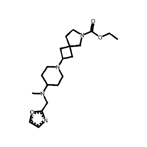 CCOC(=O)N1CCC2(CC(N3CCC(N(C)Cc4ncco4)CC3)C2)C1